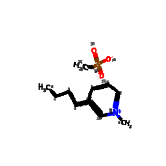 CCCCc1ccc[n+](C)c1.CS(=O)(=O)[O-]